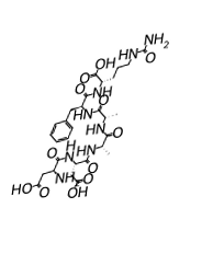 C[C@H](NC(=O)[C@H](C)NC(=O)[C@H](CC(=O)O)NC(=O)[C@@H](N)CC(=O)O)C(=O)N[C@@H](Cc1ccccc1)C(=O)N[C@@H](CCCNC(N)=O)C(=O)O